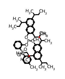 CCC(C)c1cc(C(C)CC)c2cc(OP(Oc3cc4c(C(C)CC)cc(C(C)CC)cc4cc3C(C)CC)Oc3ccccc3S(=O)(=O)c3ccc(C)cc3)c(C(C)CC)cc2c1